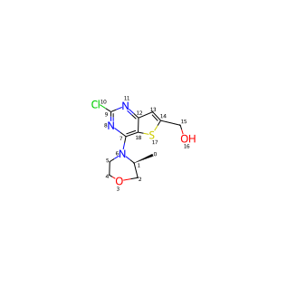 C[C@H]1COCCN1c1nc(Cl)nc2cc(CO)sc12